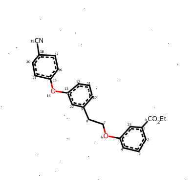 CCOC(=O)c1cccc(OCCc2cccc(Oc3ccc(C#N)cc3)c2)c1